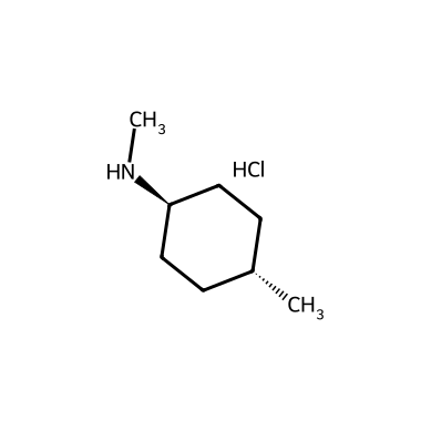 CN[C@H]1CC[C@H](C)CC1.Cl